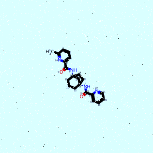 Cc1cccc(C(=O)N[C@]23CCC[C@](NC(=O)c4ccccn4)(CC2)C3)n1